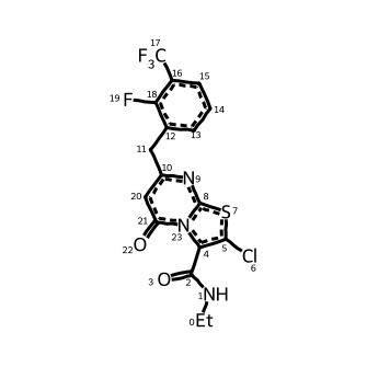 CCNC(=O)c1c(Cl)sc2nc(Cc3cccc(C(F)(F)F)c3F)cc(=O)n12